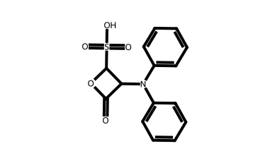 O=C1OC(S(=O)(=O)O)C1N(c1ccccc1)c1ccccc1